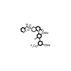 COc1cc(OC(F)(F)F)cc(-c2cc(OC)c(-n3c4c(ccc3=O)CN(S(=O)(=O)Nc3cccnn3)CC4)cc2F)c1